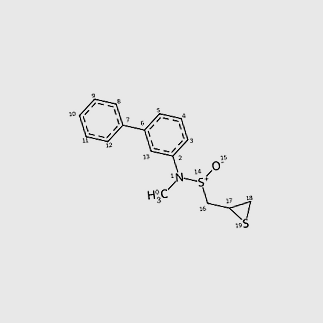 CN(c1cccc(-c2ccccc2)c1)[S+]([O-])CC1CS1